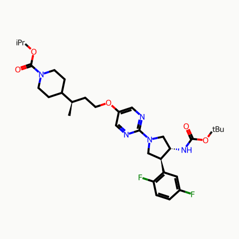 CC(C)OC(=O)N1CCC([C@H](C)CCOc2cnc(N3C[C@H](NC(=O)OC(C)(C)C)[C@@H](c4cc(F)ccc4F)C3)nc2)CC1